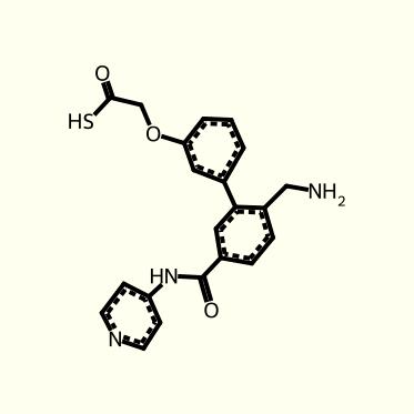 NCc1ccc(C(=O)Nc2ccncc2)cc1-c1cccc(OCC(=O)S)c1